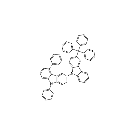 c1ccc(-c2cccc3c2c2cc(-n4c5ccccc5c5cc(C(c6ccccc6)(c6ccccc6)c6ccccc6)ccc54)ccc2n3-c2ccccc2)cc1